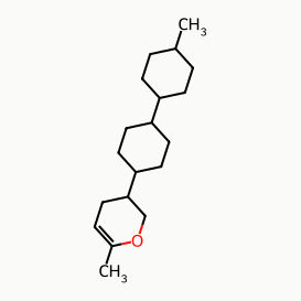 CC1=CCC(C2CCC(C3CCC(C)CC3)CC2)CO1